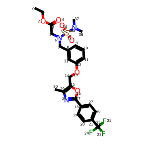 CCOC(=O)CN(Cc1cccc(OCc2oc(-c3ccc(C(F)(F)F)cc3)nc2C)c1)S(=O)(=O)N(C)C